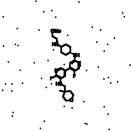 COCCN[C@H]1CC[C@H](Nc2cc(-c3cnc(F)c(NCC4(C)CCOCC4)c3)c(F)cn2)CC1